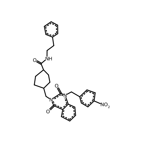 O=C(NCCc1ccccc1)C1CCC(Cn2c(=O)c3ccccc3n(Cc3ccc([N+](=O)[O-])cc3)c2=O)CC1